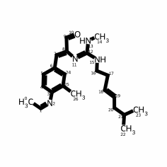 C/C=N\c1ccc(/C=C(C=O)\N=C(/NC)NCC/C=C/CC(C)C)cc1C